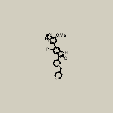 COc1cc(-c2cc3[nH]c(=O)n(C4CCCN(CC5CCOCC5)C4)c3cc2C(C)C)cn2ncnc12